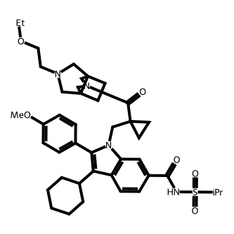 CCOCCN1CC23CCC2(C1)CN(C(=O)C1(Cn2c(-c4ccc(OC)cc4)c(C4CCCCC4)c4ccc(C(=O)NS(=O)(=O)C(C)C)cc42)CC1)C3